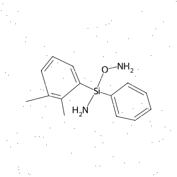 Cc1cccc([Si](N)(ON)c2ccccc2)c1C